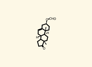 C[C@]12CC[C@H](OC=O)CC1=CC[C@H]1C3CCC(=O)[C@@]3(C)CC[C@@H]12